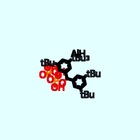 CC(C)(C)c1cc(C(OP(=O)(O)OP(=O)(O)O)c2cc(C(C)(C)C)cc(C(C)(C)C)c2)cc(C(C)(C)C)c1.[AlH3]